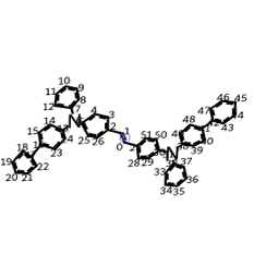 C(=C\c1ccc(N(c2ccccc2)c2ccc(-c3ccccc3)cc2)cc1)/c1ccc(N(c2ccccc2)c2ccc(-c3ccccc3)cc2)cc1